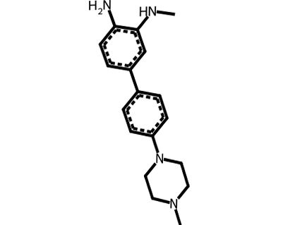 CNc1cc(-c2ccc(N3CCN(C)CC3)cc2)ccc1N